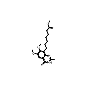 COC(=O)CCCCCCc1c(OC)c(OC)cc2c(=O)[nH]c(C)nc12